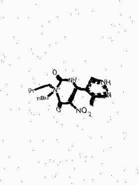 CCCC[N+]1(CC(C)C)C(=O)NC(c2c[nH]nc2C)=C([N+](=O)[O-])C1=O